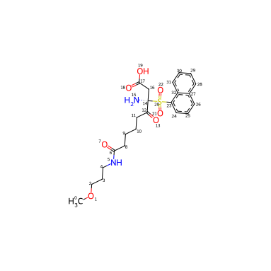 COCCCNC(=O)CCCCC(=O)[C@@](N)(CC(=O)O)S(=O)(=O)c1cccc2ccccc12